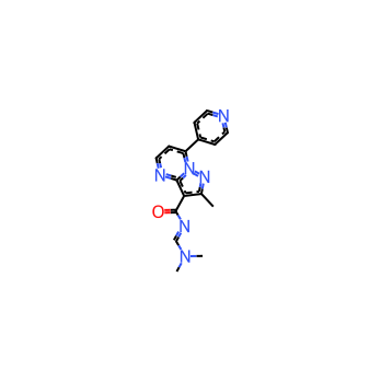 Cc1nn2c(-c3ccncc3)ccnc2c1C(=O)N=CN(C)C